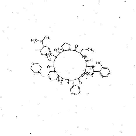 CC[C@H]1NC(=O)[C@@H](NC(=O)c2ncccc2O)[C@@H](C)OC(=O)[C@H](c2ccccc2)NC(=O)[C@@H]2CC=C(CN3CCOCC3)CN2C(=O)[C@H](Cc2ccc(N(C)C)cc2)N(C)C(=O)[C@@H]2CCCN2C1=O